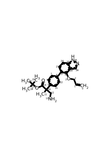 C=CCOc1c(-c2ccc(C(C)(CN)C(=O)OC(C)(C)C)cc2)ccc2[nH]ncc12